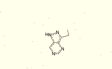 CCc1n[nH]c2cncnc12